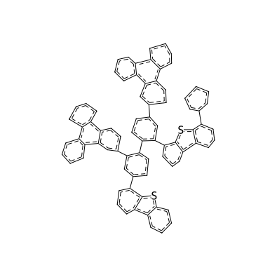 c1ccc(-c2cccc3c2sc2c(-c4cc(-c5ccc6c7ccccc7c7ccccc7c6c5)ccc4-c4ccc(-c5cccc6c5sc5ccccc56)cc4-c4ccc5c6ccccc6c6ccccc6c5c4)cccc23)cc1